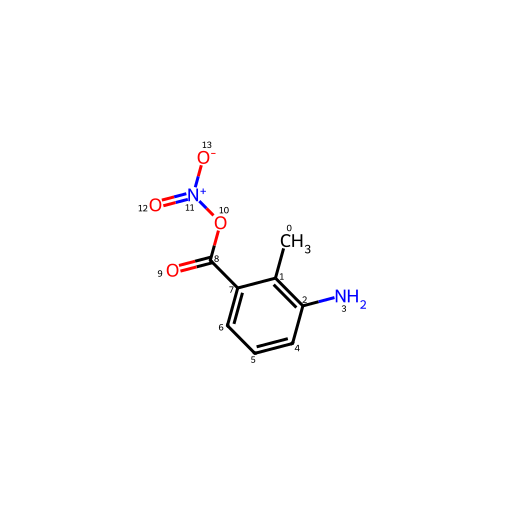 Cc1c(N)cccc1C(=O)O[N+](=O)[O-]